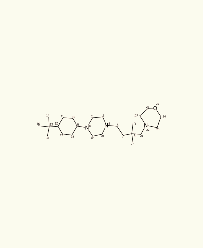 CC(C)(CCN1CCN(C2CCC(C(C)(C)C)CC2)CC1)CN1CCOCC1